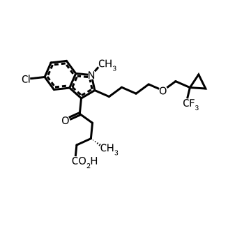 C[C@H](CC(=O)O)CC(=O)c1c(CCCCOCC2(C(F)(F)F)CC2)n(C)c2ccc(Cl)cc12